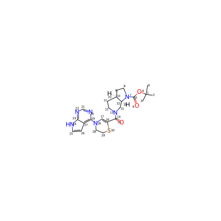 CC(C)(C)OC(=O)N1CC[C@@H]2CCN(C(=O)C3=CN(c4ncnc5[nH]ccc45)CCS3)C[C@@H]21